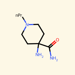 CCCN1CCC(N)(C(N)=O)CC1